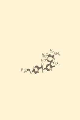 CC1(C)C(N)=N[C@](C)(c2cc(NC(=O)c3cnc(OCC(F)(F)F)cn3)cnc2F)CS1(O)O